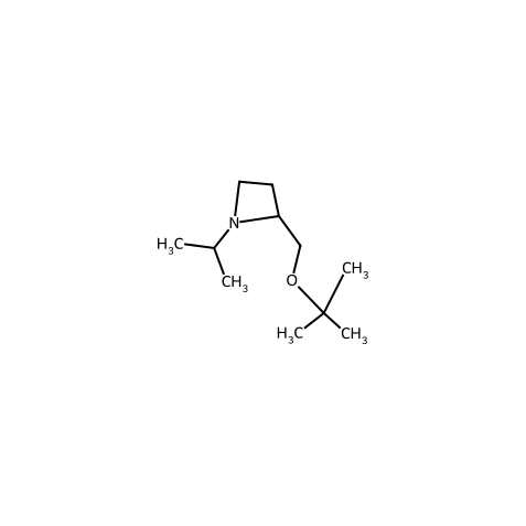 CC(C)N1CCC1COC(C)(C)C